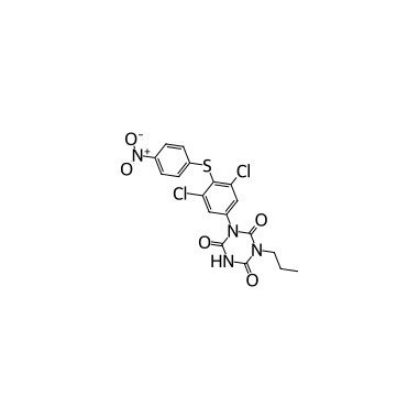 CCCn1c(=O)[nH]c(=O)n(-c2cc(Cl)c(Sc3ccc([N+](=O)[O-])cc3)c(Cl)c2)c1=O